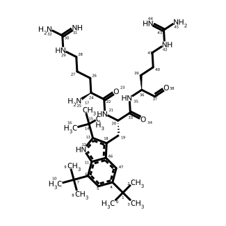 CC(C)(C)c1cc(C(C)(C)C)c2[nH]c(C(C)(C)C)c(C[C@H](NC(=O)[C@@H](N)CCCNC(=N)N)C(=O)N[C@H]([C]=O)CCCNC(=N)N)c2c1